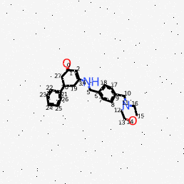 O=C1C=C(NCc2ccc(CN3CCOCC3)cc2)CC(c2ccccc2)C1